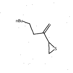 C=C(CCCCCC)C1CS1